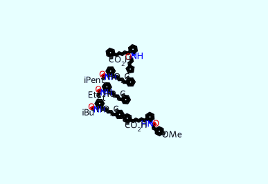 CCC(C)C(=O)Nc1ccccc1CCCCCc1ccccc1C(=O)O.CCC(CC)C(=O)Nc1ccccc1CCCCCc1ccccc1C(=O)O.CCCC(C)C(=O)Nc1ccccc1CCCCCc1ccccc1C(=O)O.COc1ccc(CC(=O)Nc2ccccc2CCCCCc2ccccc2C(=O)O)cc1.O=C(CCC1CCCC1)Nc1ccccc1CCCCCc1ccccc1C(=O)O